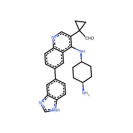 N[C@H]1CC[C@@H](Nc2c(C3(C=O)CC3)cnc3ccc(-c4ccc5[nH]cnc5c4)cc23)CC1